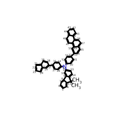 CC1(C)c2ccccc2-c2cc(N(c3ccc(-c4ccc5ccccc5c4)cc3)c3ccc(-c4ccc5ccc6c7ccccc7ccc6c5c4)cc3)ccc21